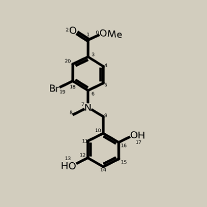 COC(=O)c1ccc(N(C)Cc2cc(O)ccc2O)c(Br)c1